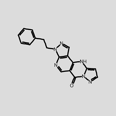 O=c1c2cnc3c(cnn3CCc3ccccc3)c2[nH]c2ccnn12